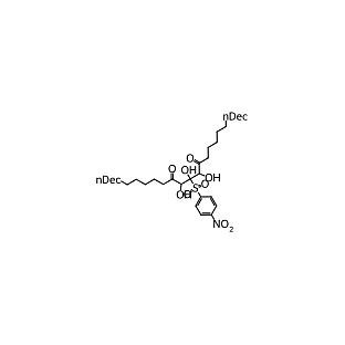 CCCCCCCCCCCCCCCC(=O)C(O)C(O)(C(O)C(=O)CCCCCCCCCCCCCCC)S(=O)(=O)c1ccc([N+](=O)[O-])cc1